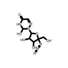 [N-]=[N+]=NC1(CO)OC(N2N=CC(=O)NC2O)C(O)C1O